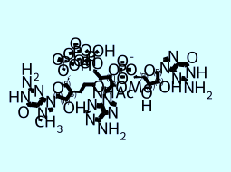 CO[C@@H]1[C@H](OP(=O)([O-])OC[C@H]2O[C@@H](n3cnc4c(=O)[nH]c(N)nc43)[C@H](O)[C@@H]2O)C(COP(=O)(O)OP(=O)(O)OP(=O)(O)OC[C@H]2O[C@@H](n3c[n+](C)c4c(=O)[nH]c(N)nc43)[C@H](O)[C@@H]2CCCNC(C)=O)O[C@H]1n1cnc2c(N)ncnc21